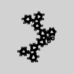 O=S1(=O)c2ccccc2-c2cc(-c3ccc4c(c3)c3ccccc3n4-c3ccccc3)cc3c4cc(-c5ccc6c(c5)c5ccccc5n6-c5ccccc5)ccc4n1c23